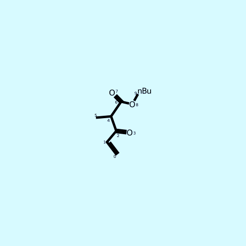 C=CC(=O)C(C)C(=O)OCCCC